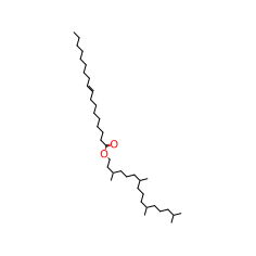 CCCCCCCCC=CCCCCCCCC(=O)OCCC(C)CCCC(C)CCCC(C)CCCC(C)C